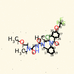 CCOCCN(CC)C(=O)CNC(=O)N1Cc2ccccc2N(C(=O)c2ccc(OCC(F)(F)F)cc2Cl)C[C@H]1C